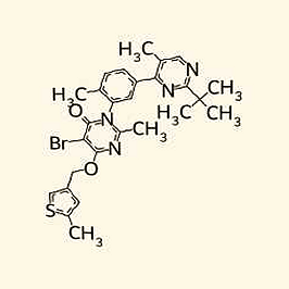 Cc1cc(COc2nc(C)n(-c3cc(-c4nc(C(C)(C)C)ncc4C)ccc3C)c(=O)c2Br)cs1